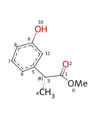 COC(=O)[C@H](C)c1cccc(O)c1